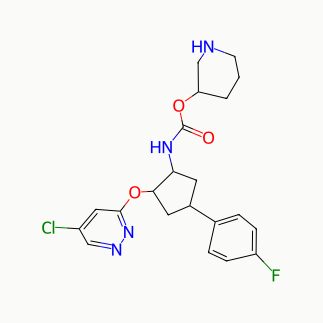 O=C(NC1CC(c2ccc(F)cc2)CC1Oc1cc(Cl)cnn1)OC1CCCNC1